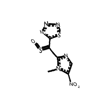 Cn1c([N+](=O)[O-])cnc1C(=S=O)c1nnns1